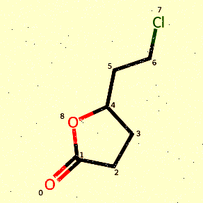 O=C1CCC(CCCl)O1